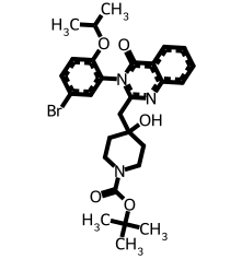 CC(C)Oc1ccc(Br)cc1-n1c(CC2(O)CCN(C(=O)OC(C)(C)C)CC2)nc2ccccc2c1=O